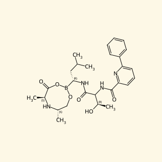 CC(C)C[C@H](NC(=O)C(NC(=O)c1cccc(-c2ccccc2)n1)[C@@H](C)O)B1OC[C@H](C)N[C@@H](C)C(=O)O1